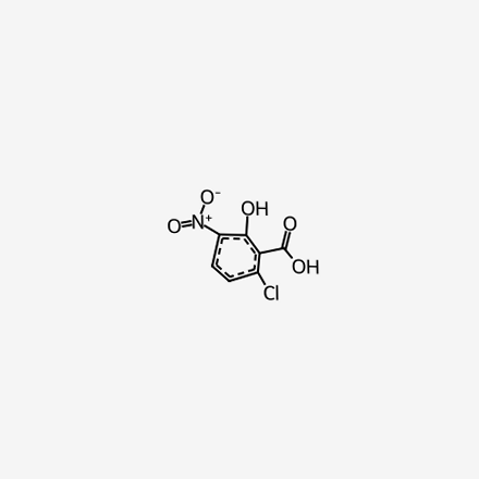 O=C(O)c1c(Cl)ccc([N+](=O)[O-])c1O